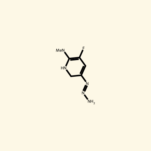 CNC1=C(F)C=C(N=NN)CN1